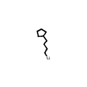 [Li][CH2]CCCC1CCCC1